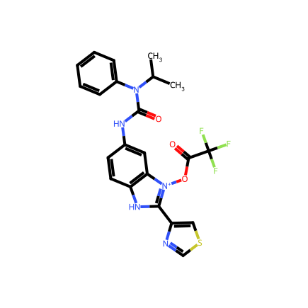 CC(C)N(C(=O)Nc1ccc2[nH]c(-c3cscn3)[n+](OC(=O)C(F)(F)F)c2c1)c1ccccc1